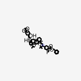 C=C(C)[C@@H]1CC[C@]2(NCCC3(O)CCN(S(C)(=O)=O)CC3)CC[C@]3(C)[C@H](CC[C@@H]4[C@@](C)(C/C=C(/C5=CC[C@](CF)(C(=O)OCc6ccccc6)CC5)C(C)(C)C)CCC[C@]43C)[C@@H]12